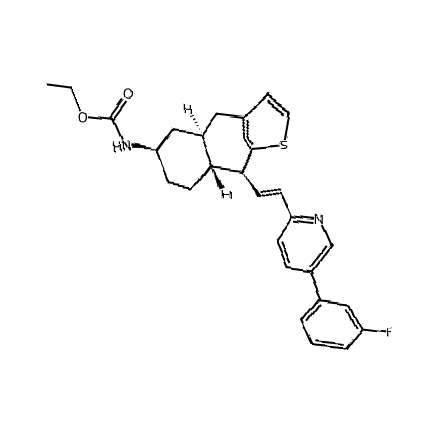 CCOC(=O)N[C@@H]1CC[C@@H]2[C@H](Cc3ccsc3[C@H]2/C=C/c2ccc(-c3cccc(F)c3)cn2)C1